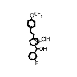 Cl.OC(c1cccc(F)c1)C12CCC(CCc3ccc(OC(F)(F)F)cc3)(CC1)N2